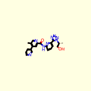 Cc1cnc(C(=O)Nc2cccc(-c3nnnn3[C@H](C)CO)n2)cc1-c1cccnc1